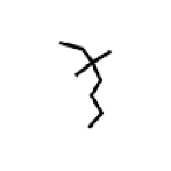 C[CH]C(C)(C)CCCC